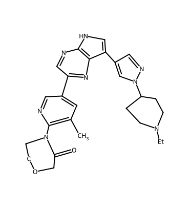 CCN1CCC(n2cc(-c3c[nH]c4ncc(-c5cnc(N6CCOCC6=O)c(C)c5)nc34)cn2)CC1